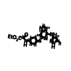 CCOC(=O)C(=O)Nc1ccc(Sc2cc3nccn3c(Nc3cc(C)[nH]n3)n2)cc1